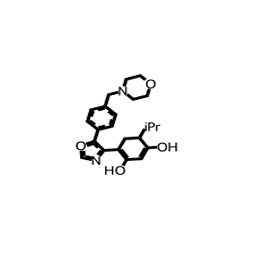 CC(C)C1CC(c2ncoc2-c2ccc(CN3CCOCC3)cc2)=C(O)C=C1O